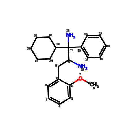 COc1ccccc1CC(N)C(N)(c1ccccc1)C1CCCCC1